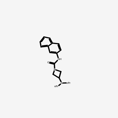 CCCN(CCC)C1CN(C(=O)Nc2ccc3ccccc3c2)C1